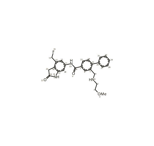 COCCNCc1cc(C(=O)Nc2cc(CF)c3c(c2)NC(=O)C3)ccc1-c1ccccc1